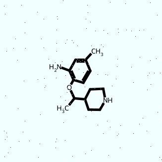 Cc1ccc(OC(C)C2CCNCC2)c(N)c1